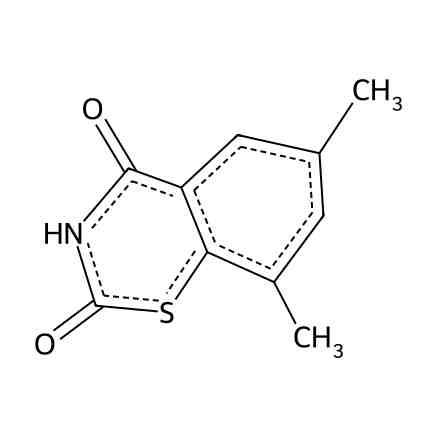 Cc1cc(C)c2sc(=O)[nH]c(=O)c2c1